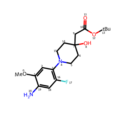 COc1cc(N2CCC(O)(CC(=O)OC(C)(C)C)CC2)c(F)cc1N